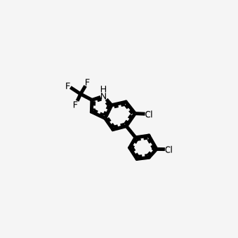 FC(F)(F)c1cc2cc(-c3cccc(Cl)c3)c(Cl)cc2[nH]1